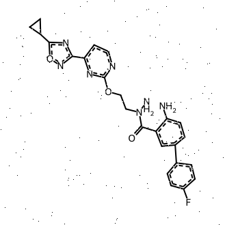 Nc1ccc(-c2ccc(F)cc2)cc1C(=O)N(N)CCOc1nccc(-c2noc(C3CC3)n2)n1